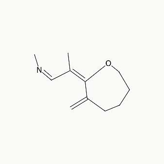 C=C1CCCCO/C1=C(C)/C=N\C